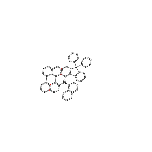 c1ccc(-c2cccc3cccc(-c4ccccc4N(c4cccc5c4-c4ccccc4C5(c4ccccc4)c4ccccc4)c4cccc5ccccc45)c23)cc1